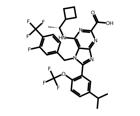 CC(C)c1ccc(OC(F)(F)F)c(-c2nc3nc(C(=O)O)nc(N[C@H](C)C4CCC4)c3n2Cc2ccc(C(F)(F)F)c(F)c2)c1